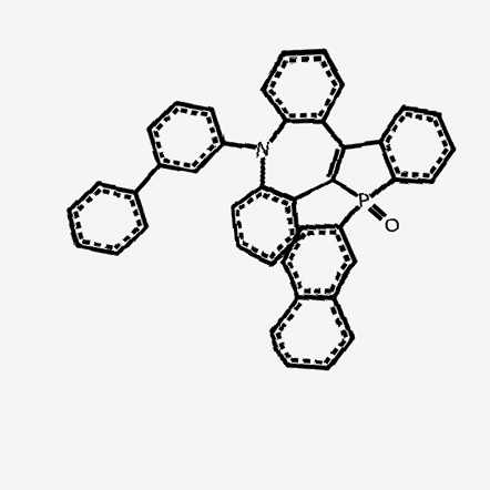 O=P1(c2ccc3ccccc3c2)C2=C(c3ccccc3N(c3cccc(-c4ccccc4)c3)c3ccccc32)c2ccccc21